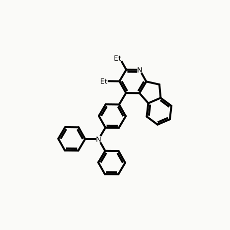 CCc1nc2c(c(-c3ccc(N(c4ccccc4)c4ccccc4)cc3)c1CC)-c1ccccc1C2